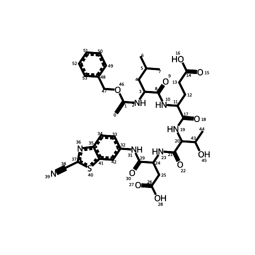 C=C(NC(CC(C)C)C(=O)NC(CCC(=O)O)C(=O)NC(C(=O)NC(CC(=O)O)C(=O)Nc1ccc2nc(C#N)sc2c1)C(C)O)OCc1ccccc1